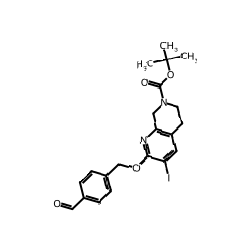 CC(C)(C)OC(=O)N1CCc2cc(I)c(OCc3ccc(C=O)cc3)nc2C1